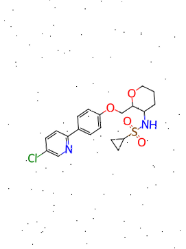 O=S(=O)(NC1CCCOC1COc1ccc(-c2ccc(Cl)cn2)cc1)C1CC1